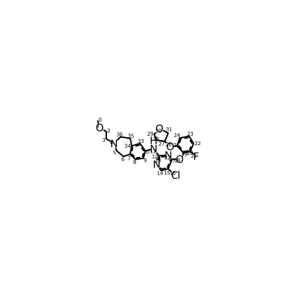 COCCN1CCc2ccc(Nc3ncc(Cl)c(Oc4c(F)cccc4OC4CCOC4)n3)cc2CC1